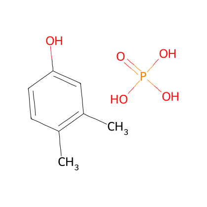 Cc1ccc(O)cc1C.O=P(O)(O)O